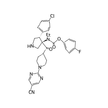 CCN(C(=O)Oc1ccc(F)cc1)[C@@]1(C(=O)C2CCN(c3ncc(C#N)cn3)CC2)CNC[C@@H]1c1ccc(Cl)cc1